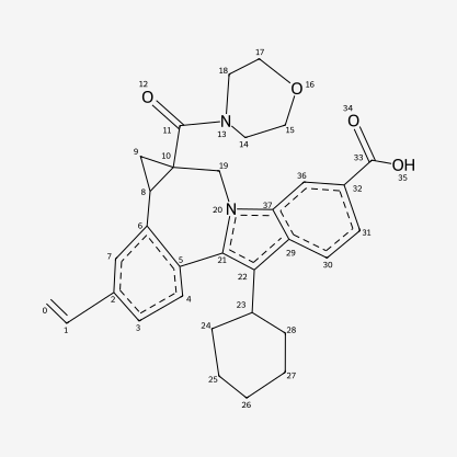 C=Cc1ccc2c(c1)C1CC1(C(=O)N1CCOCC1)Cn1c-2c(C2CCCCC2)c2ccc(C(=O)O)cc21